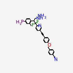 Cc1cc(P)ccc1C(CNN)C(F)(F)c1ccc(C#Cc2ccc(OCc3ccc(C#N)cc3)cc2)cn1